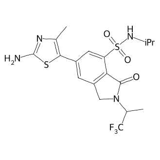 Cc1nc(N)sc1-c1cc2c(c(S(=O)(=O)NC(C)C)c1)C(=O)N(C(C)C(F)(F)F)C2